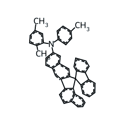 Cc1ccc(N(c2ccc3cc4c(cc3c2)C2(c3ccccc3-c3ccccc32)c2c-4ccc3ccccc23)c2cc(C)ccc2C)cc1